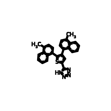 Cc1ccc(-c2cc(-c3nnn[nH]3)sc2-c2ccc(C)c3ccccc23)c2ccccc12